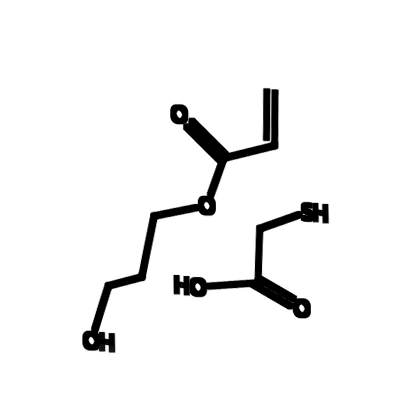 C=CC(=O)OCCCO.O=C(O)CS